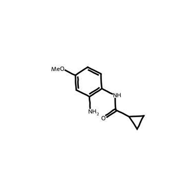 COc1ccc(NC(=O)C2CC2)c(N)c1